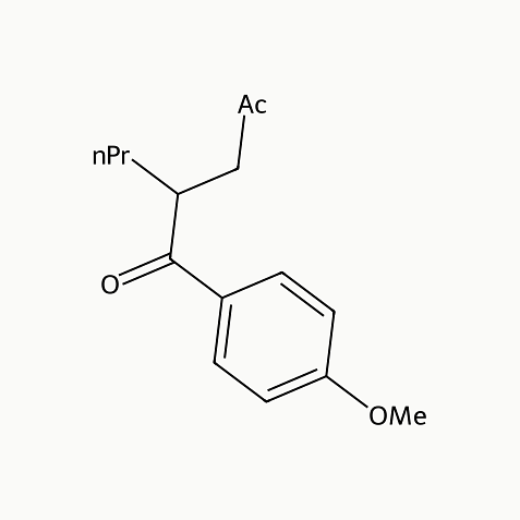 CCCC(CC(C)=O)C(=O)c1ccc(OC)cc1